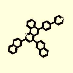 c1ccc2cc(-c3cc(-c4ccc5ccccc5c4)c4cc(-c5ccc(-c6ccncc6)cc5)c5ccccc5c4n3)ccc2c1